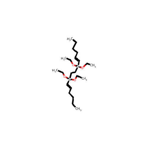 CCCCC=C[Si](CC[Si](C=CCCCC)(OCC)OCC)(OCC)OCC